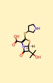 CC(C)(O)C1C(=O)N2C(C(=O)O)=C(SC3CCNC3)S[C@@H]12